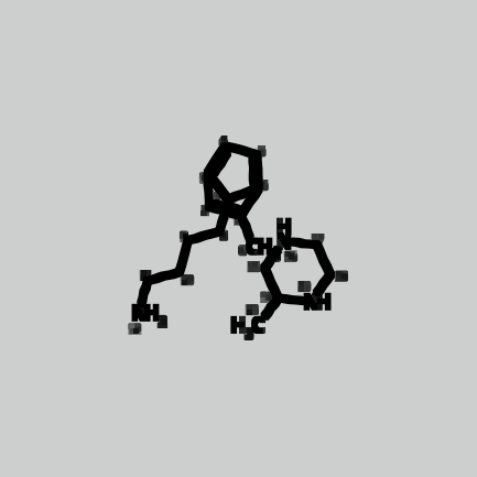 CC1=CC2=CC=C1C2CCCCN.CC1CNCCN1